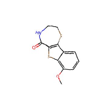 COc1cccc2c3c(sc12)C(=O)NCCS3